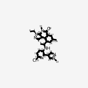 CCn1ncc2c3c(C(C)Nc4ccc(Cl)nc4-c4cnn(C)c4)cc(C)cc3c(=O)n(C)c21